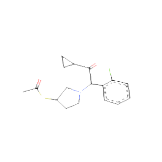 CC(=O)SC1CCN(C(C(=O)C2CC2)c2ccccc2F)C1